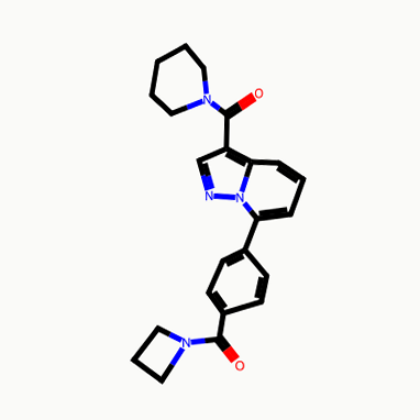 O=C(c1ccc(-c2cccc3c(C(=O)N4CCCCC4)cnn23)cc1)N1CCC1